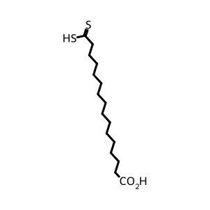 O=C(O)CCCCCCCCCCCCCCC(=S)S